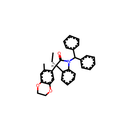 CC[C@]1(c2cc3c(cc2C)OCCO3)C(=O)N(C(c2ccccc2)c2ccccc2)c2ccccc21